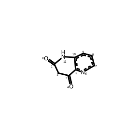 O=C1CC(=O)c2ncccc2N1